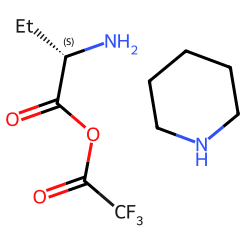 C1CCNCC1.CC[C@H](N)C(=O)OC(=O)C(F)(F)F